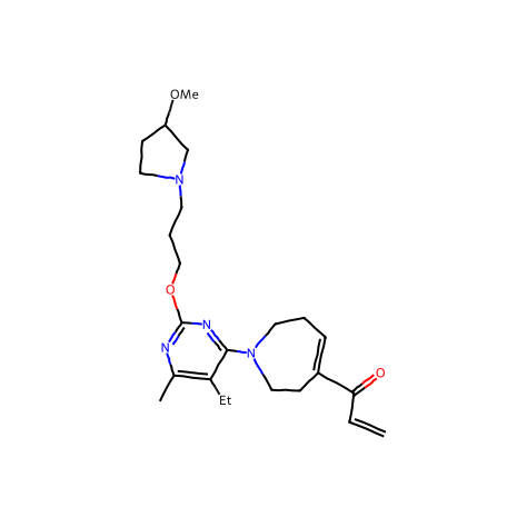 C=CC(=O)C1=CCCN(c2nc(OCCCN3CCC(OC)C3)nc(C)c2CC)CC1